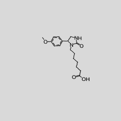 COc1ccc(C2CNC(=O)N2CCCCCCC(=O)O)cc1